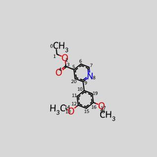 CCOC(=O)c1ccnc(-c2cc(OC)cc(OC)c2)c1